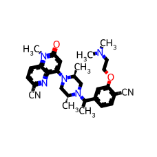 CC(c1ccc(C#N)c(OCCN(C)C)c1)N1C[C@H](C)N(c2cc(=O)n(C)c3ccc(C#N)nc23)C[C@H]1C